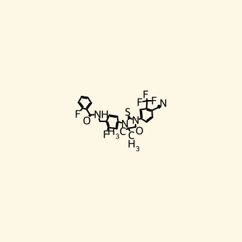 CC1(C)C(=O)N(c2ccc(C#N)c(C(F)(F)F)c2)C(=S)N1c1ccc(CNC(=O)c2ccccc2F)c(F)c1